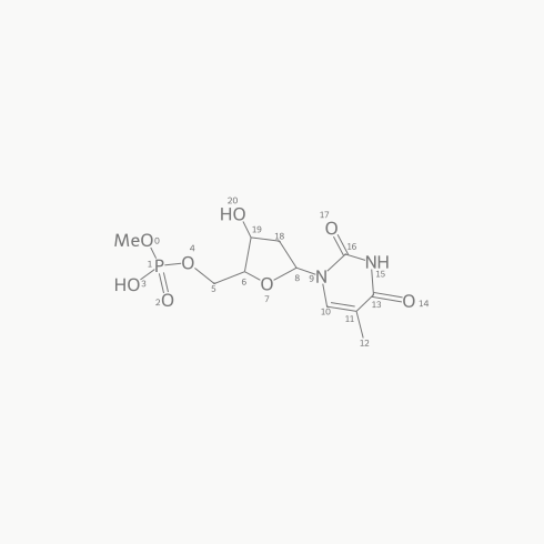 COP(=O)(O)OCC1OC(n2cc(C)c(=O)[nH]c2=O)CC1O